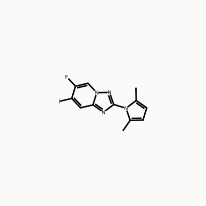 Cc1ccc(C)n1-c1nc2cc(I)c(F)cn2n1